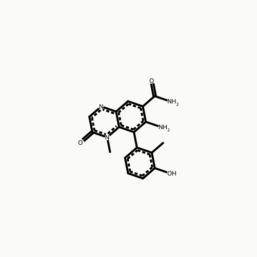 Cc1c(O)cccc1-c1c(N)c(C(N)=O)cc2ncc(=O)n(C)c12